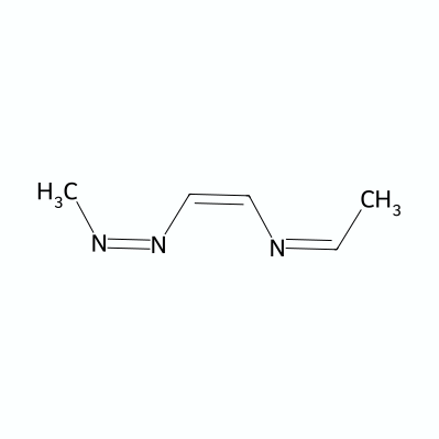 C\C=N/C=C\N=N/C